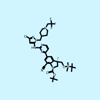 CC(C)(C)OC(=O)N1C[C@](C)(CO[Si](C)(C)C(C)(C)C)c2cc(-c3ccnc(Nc4cc(Cl)nn4CC4CCN(CC(F)(F)F)CC4)n3)cc(C#N)c21